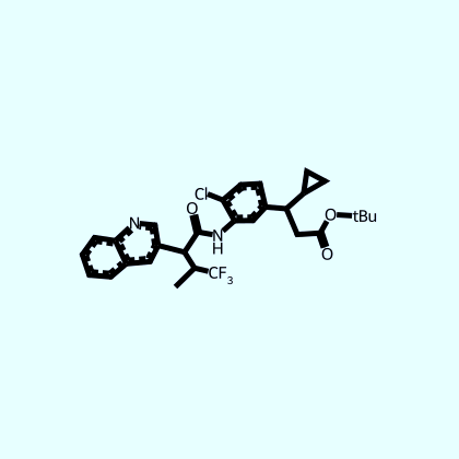 CC(C(C(=O)Nc1cc(C(CC(=O)OC(C)(C)C)C2CC2)ccc1Cl)c1cnc2ccccc2c1)C(F)(F)F